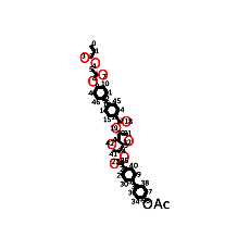 C=CC(=O)OCC(=O)Oc1ccc(-c2ccc(C(=O)OC3COC4C(OC(=O)c5ccc(-c6ccc(OC(C)=O)cc6)cc5)COC34)cc2)cc1